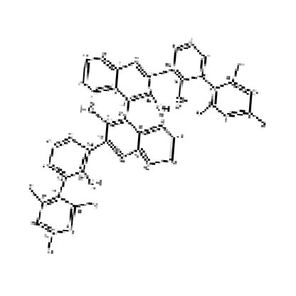 Cc1cc(C)c(-c2cccc(-c3cc4ccccc4c(-c4c(O)c(-c5cccc(-c6c(C)cc(C)cc6C)c5O)cc5ccccc45)c3O)c2O)c(C)c1